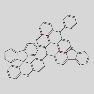 c1ccc(N(c2ccccc2)c2ccccc2-c2ccccc2N(c2ccc3c(c2)C2(c4ccccc4O3)c3ccccc3-c3ccccc32)c2ccc3c(c2)sc2ccccc23)cc1